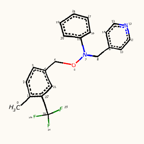 Cc1ccc(CON(Cc2ccncc2)c2ccccc2)cc1C(F)(F)F